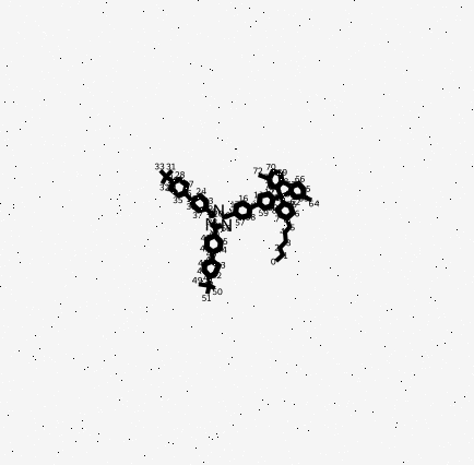 CCCCCCc1ccc(C2(c3ccc(-c4ccc(-c5nc(-c6ccc(-c7ccc(C(C)(C)C)cc7)cc6)nc(-c6ccc(-c7ccc(C(C)(C)C)cc7)cc6)n5)cc4)cc3)c3cc(C)ccc3-c3ccc(C)cc32)cc1